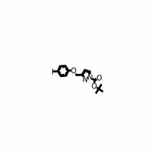 CC(C)(C)OC(=O)n1ccc(COc2ccc(I)cc2)n1